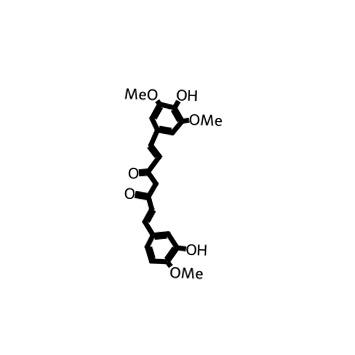 COc1ccc(/C=C/C(=O)CC(=O)/C=C/c2cc(OC)c(O)c(OC)c2)cc1O